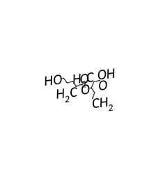 C=CCC(OC(=O)C(=C)CCCO)C(=C)C(=O)O